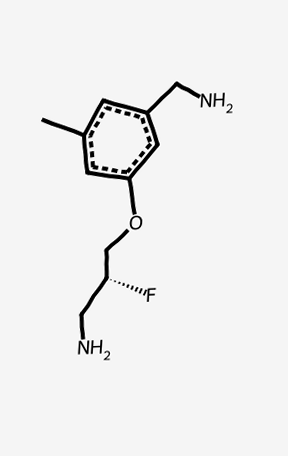 Cc1cc(CN)cc(OC[C@H](F)CN)c1